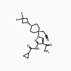 N#CC[C@]1(n2cc(C(N)=O)c(NC(=O)C3CC3)n2)CC[C@H](N2CC(F)(F)C2)CC1